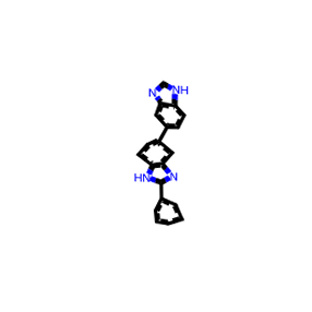 c1ccc(-c2nc3cc(-c4ccc5[nH]cnc5c4)ccc3[nH]2)cc1